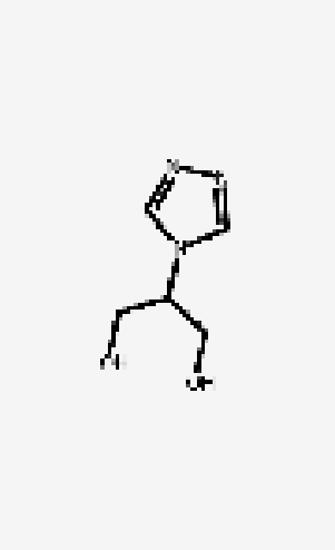 OCC(CO)n1[c]nnc1